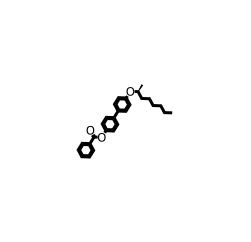 CCCCCC[C@H](C)Oc1ccc(-c2ccc(OC(=O)c3ccccc3)cc2)cc1